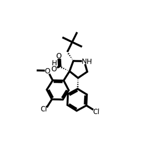 COc1cc(Cl)ccc1[C@@]1(C(=O)O)[C@H](CC(C)(C)C)NC[C@@H]1c1cccc(Cl)c1